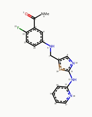 CNC(=O)c1cc(NCc2cnc(Nc3ccccn3)s2)ccc1F